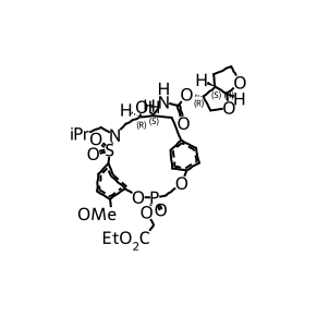 CCOC(=O)COP1(=O)COc2ccc(cc2)C[C@H](NC(=O)O[C@H]2CO[C@H]3OCC[C@H]32)[C@H](O)CN(CC(C)C)S(=O)(=O)c2ccc(OC)c(c2)O1